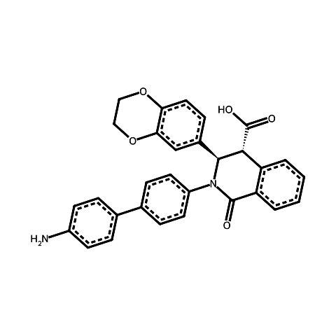 Nc1ccc(-c2ccc(N3C(=O)c4ccccc4[C@@H](C(=O)O)[C@@H]3c3ccc4c(c3)OCCO4)cc2)cc1